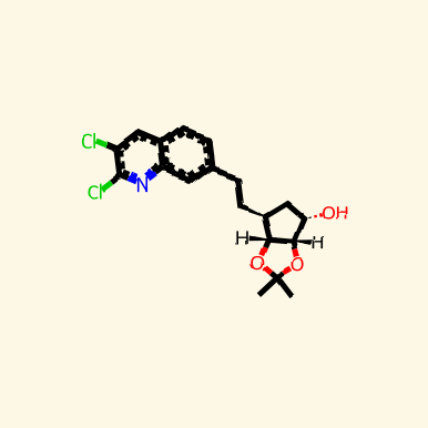 CC1(C)O[C@@H]2[C@@H](CCc3ccc4cc(Cl)c(Cl)nc4c3)C[C@H](O)[C@@H]2O1